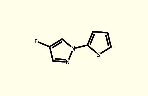 Fc1cnn(-c2cc[c]s2)c1